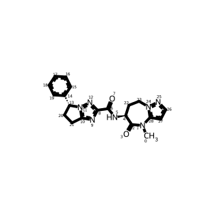 CN1C(=O)[C@@H](NC(=O)c2nc3n(n2)[C@@H](c2ccccc2)CC3)CCn2nccc21